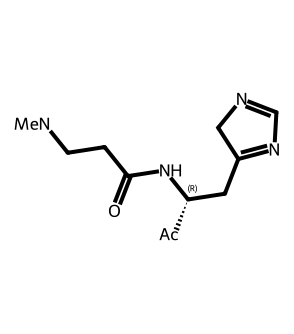 CNCCC(=O)N[C@H](CC1=NC=NC1)C(C)=O